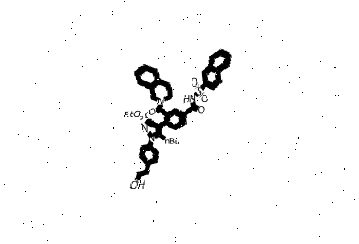 CCCCc1c(-c2ccc(C(=O)NS(=O)(=O)c3ccc4ccccc4c3)cc2C(=O)N2CCC3CC=CC=C3C2)c(C(=O)OCC)nn1-c1ccc(CCO)cc1